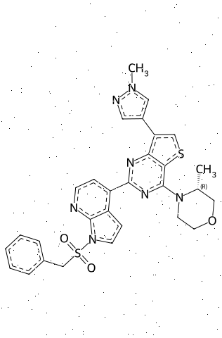 C[C@@H]1COCCN1c1nc(-c2ccnc3c2ccn3S(=O)(=O)Cc2ccccc2)nc2c(-c3cnn(C)c3)csc12